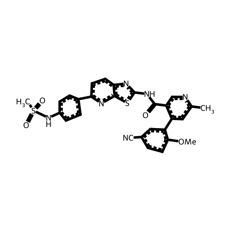 COc1ccc(C#N)cc1-c1cc(C)ncc1C(=O)Nc1nc2ccc(-c3ccc(NS(C)(=O)=O)cc3)nc2s1